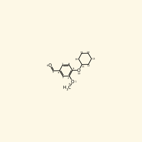 COc1cc(C=O)ccc1OC1CCCCC1